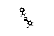 COc1cc(-c2csc(N(C)C(=O)c3ccccc3)n2)cc(C)c1C